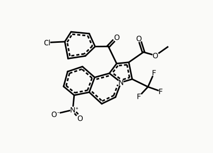 COC(=O)c1c(C(=O)c2ccc(Cl)cc2)c2c3cccc([N+](=O)[O-])c3ccn2c1C(F)(F)F